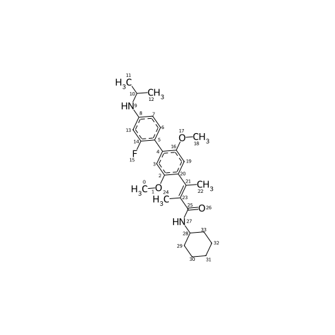 COc1cc(-c2ccc(NC(C)C)cc2F)c(OC)cc1/C(C)=C(\C)C(=O)NC1CCCCC1